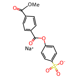 COC(=O)c1ccc(C(=O)Oc2ccc(S(=O)(=O)[O-])cc2)cc1.[Na+]